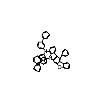 c1ccc(-c2ccc(N(c3cccc(-c4ccccc4)c3)c3cccc4c5c(-c6ccccc6)c6c(cc5n(-c5ccc7ccccc7c5)c34)oc3ccccc36)cc2)cc1